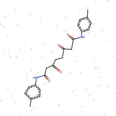 Cc1ccc(NC(=O)CC(=O)CCC(=O)CC(=O)Nc2ccc(C)cc2)cc1